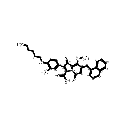 CCCCCCOc1ccc(C2=C(C(=O)O)n3c(c(OC)c(Cc4cccc5ccccc45)cc3=O)C2=S)cc1C